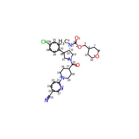 CN(C(=O)OCC1CCOCC1)[C@@H]1CN(C(=O)C2CCN(c3ccc(C#N)cn3)CC2)C[C@H]1c1ccc(Cl)cc1